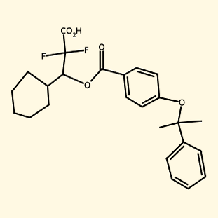 CC(C)(Oc1ccc(C(=O)OC(C2CCCCC2)C(F)(F)C(=O)O)cc1)c1ccccc1